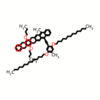 CCCCCCCCCCCCCCOc1cc(C#Cc2c3ccccc3c(C)c3cc4c(cc23)C2c3ccccc3C4c3c(OCCCC)c4c(c(OCCCC)c32)C2c3ccccc3C4c3ccccc32)c(OCCCCCCCCCCCCCC)cc1C